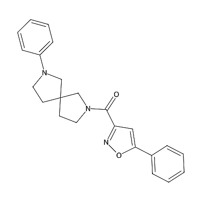 O=C(c1cc(-c2ccccc2)on1)N1CCC2(CCN(c3ccccc3)C2)C1